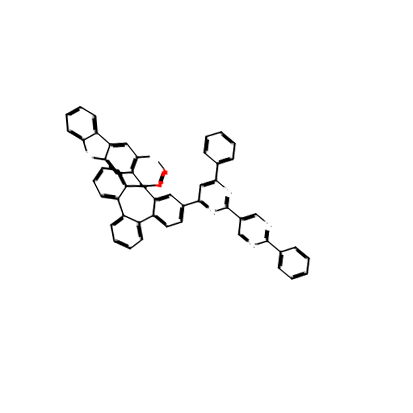 c1ccc(-c2cc(-c3ccc4c(c3)C3(c5ccccc5Sc5cc6c(cc53)oc3ccccc36)c3ccccc3-c3ccccc3-4)nc(-c3cnc(-c4ccccc4)nc3)n2)cc1